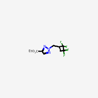 CCOC(=O)c1cnn(CC2CC(F)(F)C2(F)F)n1